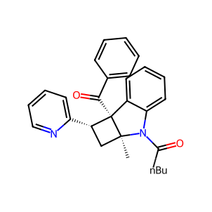 CCCCC(=O)N1c2ccccc2[C@]2(C(=O)c3ccccc3)[C@@H](c3ccccn3)C[C@]12C